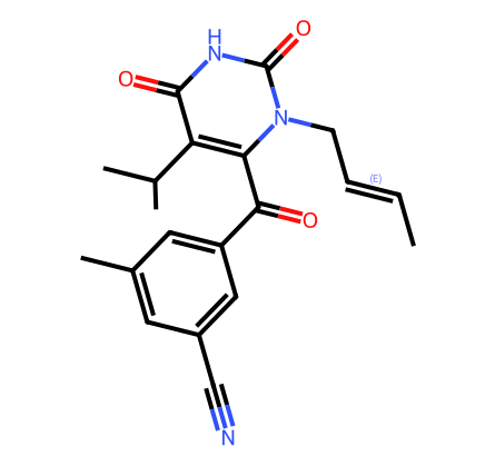 C/C=C/Cn1c(C(=O)c2cc(C)cc(C#N)c2)c(C(C)C)c(=O)[nH]c1=O